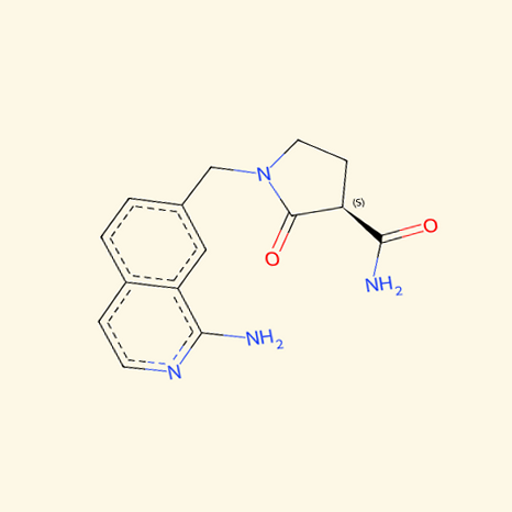 NC(=O)[C@@H]1CCN(Cc2ccc3ccnc(N)c3c2)C1=O